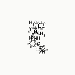 Cc1cccnc1[C@@H]1CCC[C@H](c2nc3cccc(OC45CCN(CC4)CC5)c3[nH]2)N1C